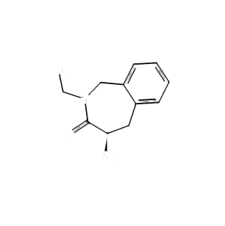 N[C@@H]1Cc2ccccc2CN(CC(F)(F)F)C1=O